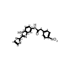 O=C(Cc1ccc([N+](=O)[O-])cc1)Nc1ccc2[nH]c(-c3nccs3)nc2c1